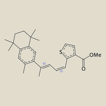 COC(=O)c1ccsc1/C=C\C=C(/C)c1cc2c(cc1C)C(C)(C)CCC2(C)C